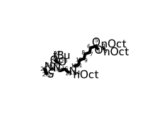 CCCCCCCCC(CCCCCCCC)OC(=O)CCCCCCCN(CCCCCCCC)CCCN(C(=O)OC(C)(C)C)c1nccs1